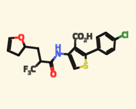 O=C(O)c1c(NC(=O)C(CC2CC=CO2)C(F)(F)F)csc1-c1ccc(Cl)cc1